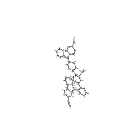 N#Cc1ccc2c(c1)c1ccccc1n2-c1ccc(-c2ccc(-c3ccccc3-n3c4ccccc4c4ccc(C#N)cc43)cc2C#N)cc1